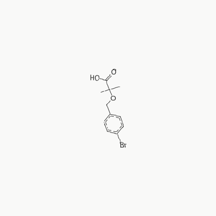 CC(C)(OCc1ccc(Br)cc1)C(=O)O